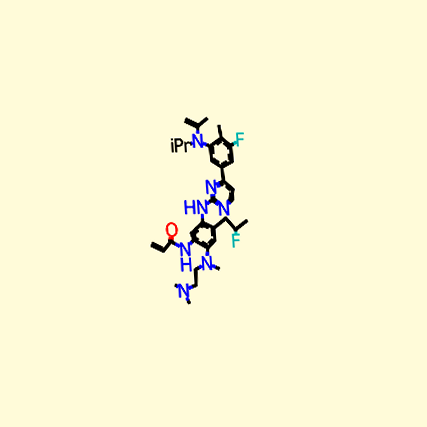 C=CC(=O)Nc1cc(Nc2nccc(-c3cc(F)c(C)c(N(C(=C)C)C(C)C)c3)n2)c(CC(C)F)cc1N(C)CCN(C)C